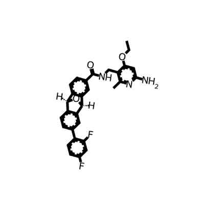 CCOc1cc(N)nc(C)c1CNC(=O)c1ccc2c(c1)[C@@H]1O[C@H]2c2ccc(-c3ccc(F)cc3F)cc21